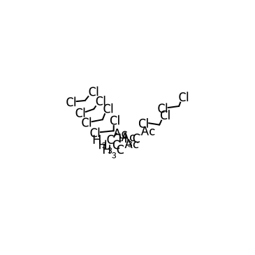 CC(C)=O.CC(C)=O.CC(C)=O.CC(C)=O.ClCCl.ClCCl.ClCCl.ClCCl.ClCCl.ClCCl